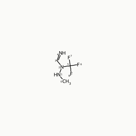 CNN(C=N)C(F)(F)F